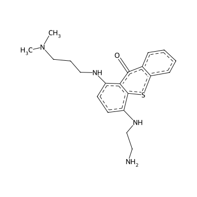 CN(C)CCCNc1ccc(NCCN)c2sc3ccccc3c(=O)c12